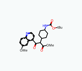 COC(=O)C(C(=O)c1ccnc2ccc(OC)cc12)C1CCC(NC(=O)OC(C)(C)C)CC1